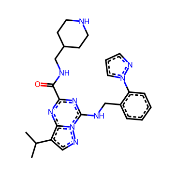 CC(C)c1cnn2c(NCc3ccccc3-n3cccn3)nc(C(=O)NCC3CCNCC3)nc12